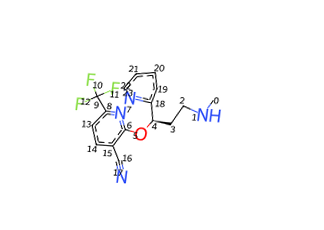 CNCC[C@@H](Oc1nc(C(F)(F)F)ccc1C#N)c1ccccn1